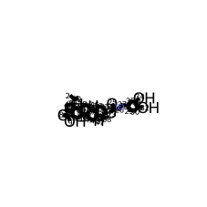 C=C(C)[C@@H]1CC[C@]2(C(=O)O)CC[C@]3(C)[C@H](CC[C@@H]4[C@@]5(C)CC[C@H](OC(=O)/C=C/c6ccc(O)c(O)c6)C(C)(C)[C@@H]5CC[C@]43C)[C@@H]12